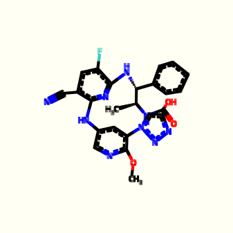 COc1ncc(Nc2nc(N[C@H](c3ccccc3)[C@H](C)NC(=O)O)c(F)cc2C#N)cc1-n1ccnn1